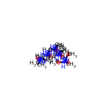 CCNc1nc(NC(C)(C)C)nc(OC)n1.CCNc1nc(NC(C)CC)nc(OC)n1.CCNc1nc(NCC)nc(OC)n1.COCCCNc1nc(NCCCOC)nc(OC)n1.COc1nc(NC(C)C)nc(NC(C)C)n1